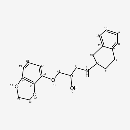 OC(CNC1CCc2ccccc2C1)COc1cccc2c1OCCO2